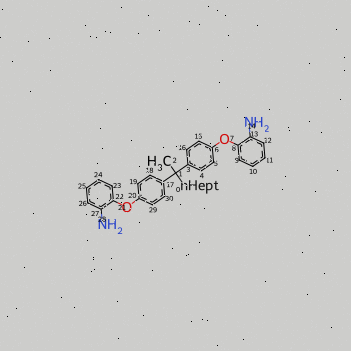 CCCCCCCC(C)(c1ccc(Oc2ccccc2N)cc1)c1ccc(Oc2ccccc2N)cc1